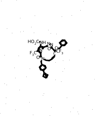 O=C(O)Nc1cc(C(F)(F)F)c2nc1-c1nnc(o1)[C@@](OCc1ccccc1)(C(F)(F)F)CC=CCCN(Cc1ccc(C34CC(C3)C4)cc1)C2=O